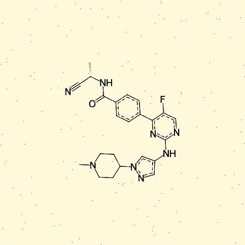 C[C@@H](C#N)NC(=O)c1ccc(-c2nc(Nc3cnn(C4CCN(C)CC4)c3)ncc2F)cc1